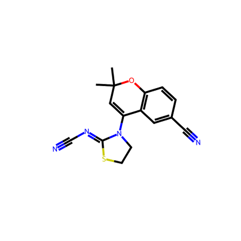 CC1(C)C=C(N2CCSC2=NC#N)c2cc(C#N)ccc2O1